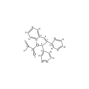 C=C(C)C(=O)OC(C(=Cc1ccccc1)c1ccccc1)c1ccccc1